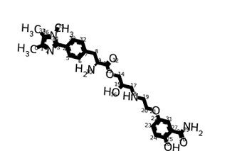 Cc1nc(-c2ccc(C[C@H](N)C(=O)OCC(O)CNCCOc3ccc(O)c(C(N)=O)c3)cc2)n(C)c1C